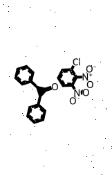 O=[N+]([O-])c1cccc(Cl)c1[N+](=O)[O-].O=c1c(-c2ccccc2)c1-c1ccccc1